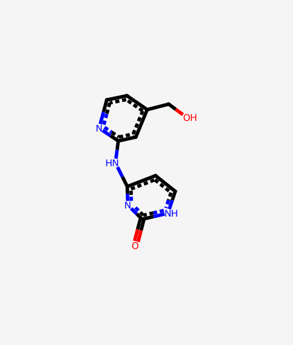 O=c1nc(Nc2cc(CO)ccn2)cc[nH]1